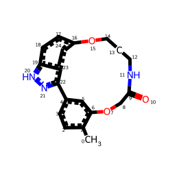 Cc1ccc2cc1OCC(=O)NCCCOc1ccc3[nH]nc-2c3c1